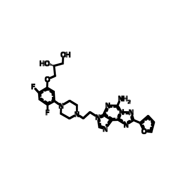 Nc1nc2c(ncn2CCN2CCN(c3cc(OC[C@H](O)CO)c(F)cc3F)CC2)c2nc(-c3ccco3)nn12